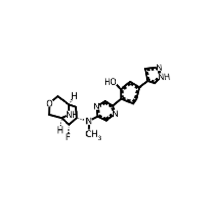 CN(c1cnc(-c2ccc(-c3cn[nH]c3)cc2O)cn1)[C@H]1C[C@@H]2COC[C@@H](N2)[C@H]1F